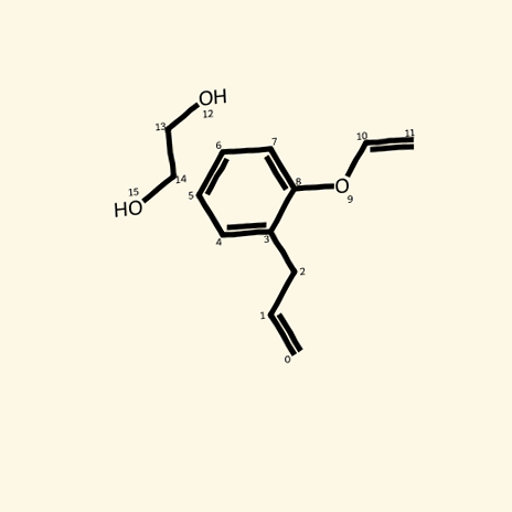 C=CCc1ccccc1OC=C.OCCO